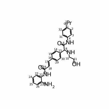 CC(C)c1ccc(NC(=O)C(NCCO)c2ccc(/C=C/C(=O)Nc3ccccc3N)cc2)cc1